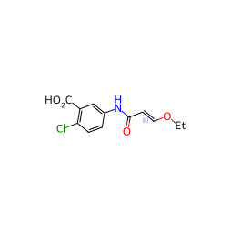 CCO/C=C/C(=O)Nc1ccc(Cl)c(C(=O)O)c1